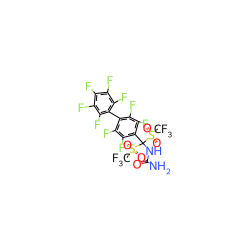 NC(=O)NC(c1c(F)c(F)c(-c2c(F)c(F)c(F)c(F)c2F)c(F)c1F)(S(=O)(=O)C(F)(F)F)S(=O)(=O)C(F)(F)F